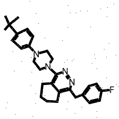 CC(C)(C)c1ccc(N2CCN(c3nnc(Cc4ccc(F)cc4)c4c3CCCC4)CC2)cc1